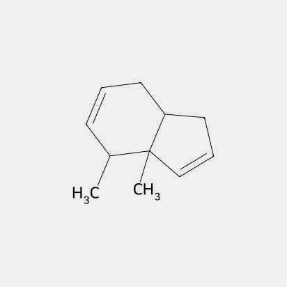 CC1C=CCC2CC=CC12C